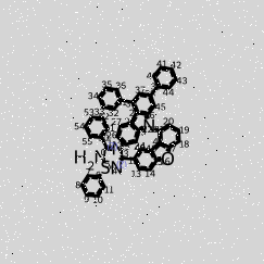 N/C(=N\C(=N/Sc1ccccc1)c1ccc2oc3cccc(-n4c5ccccc5c5c(-c6ccccc6)cc(-c6ccccc6)cc54)c3c2c1)c1ccccc1